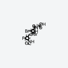 CC(=O)Nc1cc(F)cc(COc2c(Br)cc(C(=O)NCC(=O)O)cc2Br)c1